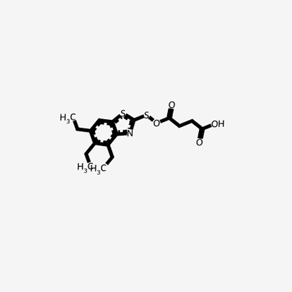 CCc1cc2sc(SOC(=O)CCC(=O)O)nc2c(CC)c1CC